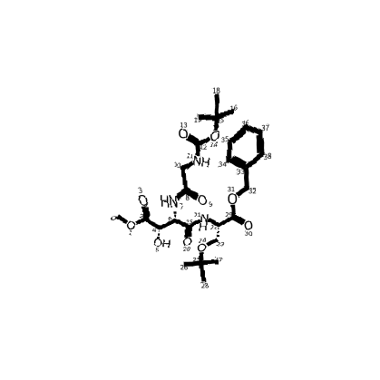 COC(=O)[C@@H](O)[C@H](NC(=O)CNC(=O)OC(C)(C)C)C(=O)N[C@@H](COC(C)(C)C)C(=O)OCc1ccccc1